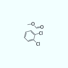 COC=O.Clc1ccccc1Cl